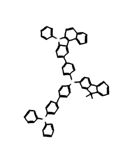 CC1(C)c2ccccc2-c2ccc(N(c3ccc(-c4ccc(N(c5ccccc5)c5ccccc5)cc4)cc3)c3ccc(-c4ccc5c(c4)c4c6ccccc6ccc4n5-c4ccccc4)cc3)cc21